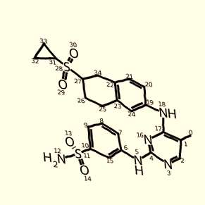 Cc1cnc(Nc2cccc(S(N)(=O)=O)c2)nc1Nc1ccc2c(c1)CCC(S(=O)(=O)C1CC1)C2